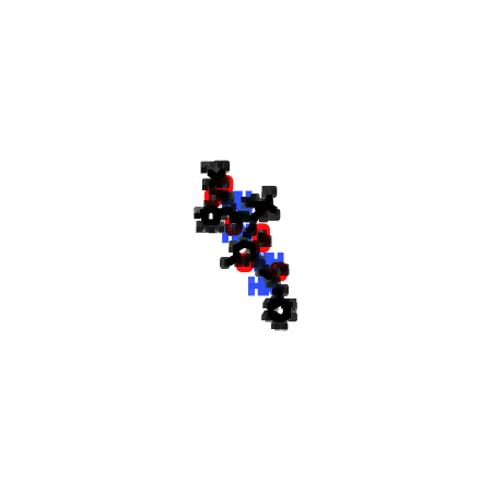 CCCC(NC(=O)[C@@H]1C2C(CN1C(=O)[C@@H](NC(=O)OC(C)(C)C)C1CCCC1)C2(C)C)C(=O)C(=O)NCC(=O)NCc1ccccc1